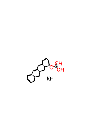 OB(O)Oc1cccc2cc3cc4ccccc4cc3cc12.[KH]